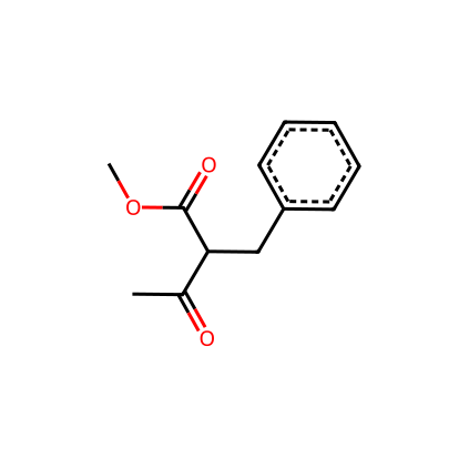 COC(=O)C(Cc1ccccc1)C(C)=O